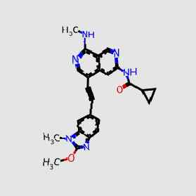 CNc1ncc(C#Cc2ccc3nc(OC)n(C)c3c2)c2cc(NC(=O)C3CC3)ncc12